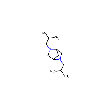 CC(C)CN1CC2CC1CN2CC(C)C